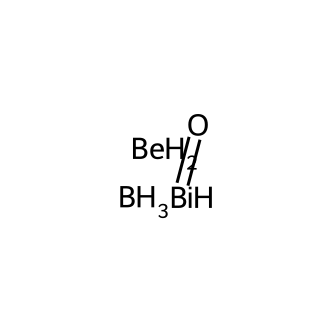 B.[BeH2].[O]=[BiH]